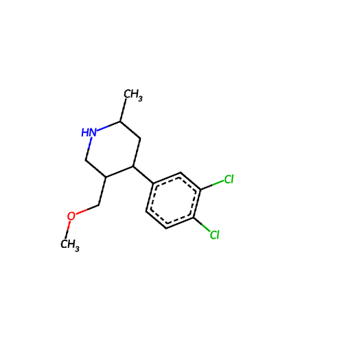 COCC1CNC(C)CC1c1ccc(Cl)c(Cl)c1